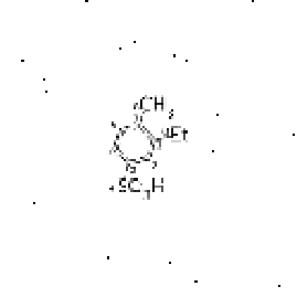 CCc1cc(S(=O)(=O)O)ccc1C